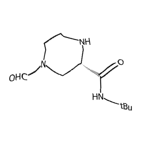 CC(C)(C)NC(=O)[C@@H]1CN(C=O)CCN1